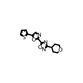 c1csc(-c2cnc(-c3nc(C4CCOCC4)no3)o2)c1